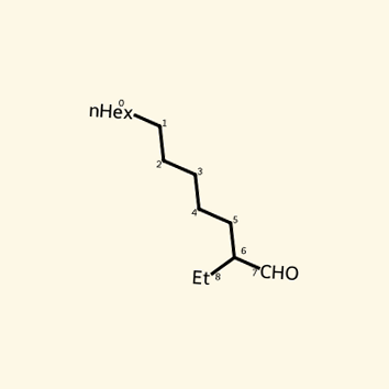 CCCCCCCCCCCC(C=O)CC